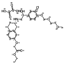 CCOC(=O)COc1ccc2c(c1)C[C@@H](NCC(O)c1ccc(OCOCCOC)c(Cl)c1)CC2.O=C(O)C(=O)O